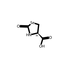 O=C1N[C@H](C(=O)O)C[Se]1